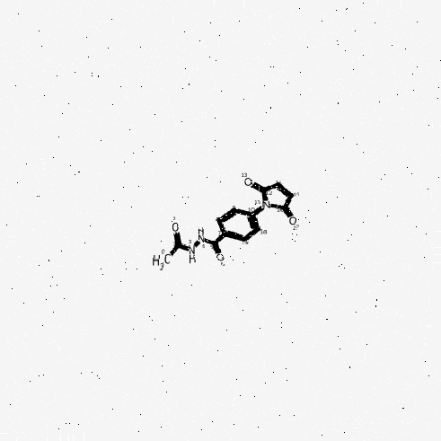 CC(=O)NNC(=O)c1ccc(N2C(=O)C=CC2=O)cc1